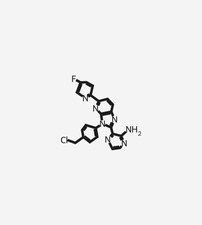 Nc1nccnc1-c1nc2ccc(-c3ccc(F)cn3)nc2n1-c1ccc(CCl)cc1